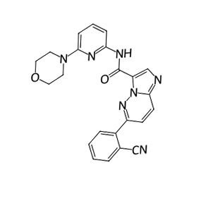 N#Cc1ccccc1-c1ccc2ncc(C(=O)Nc3cccc(N4CCOCC4)n3)n2n1